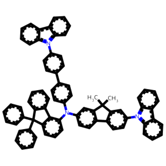 CC1(C)c2cc(N(c3ccc(-c4ccc(-n5c6ccccc6c6ccccc65)cc4)cc3)c3cccc4c3-c3ccccc3C4(c3ccccc3)c3ccccc3)ccc2-c2ccc(-n3c4ccccc4c4ccccc43)cc21